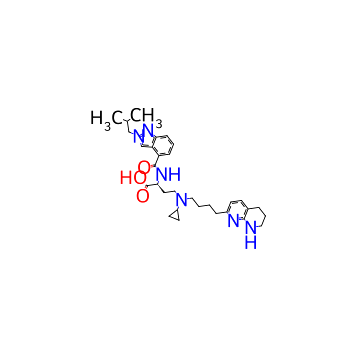 CC(C)Cn1cc2c(C(=O)N[C@@H](CCN(CCCCc3ccc4c(n3)NCCC4)C3CC3)C(=O)O)cccc2n1